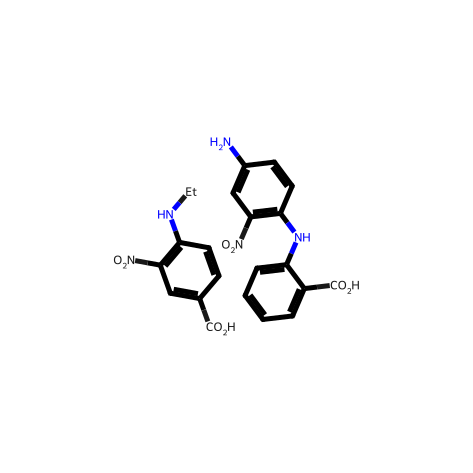 CCNc1ccc(C(=O)O)cc1[N+](=O)[O-].Nc1ccc(Nc2ccccc2C(=O)O)c([N+](=O)[O-])c1